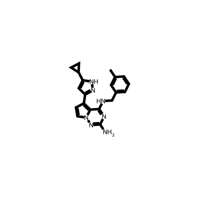 Cc1cccc(CNc2nc(N)nn3ccc(-c4cc(C5CC5)[nH]n4)c23)c1